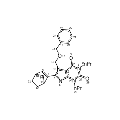 CCCn1c(=O)c2c(nc(C3=CC4CCC3C4)n2COCc2ccccc2)n(CCC)c1=O